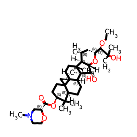 CCO[C@@H]([C@H]1C[C@@H](C)[C@H]2[C@H](O1)[C@H](O)[C@@]1(C)[C@@H]3CC[C@H]4C(C)(C)[C@@H](OC(=O)[C@H]5CN(C)CCO5)CCC45C[C@@]35CC[C@]21C)C(C)(C)O